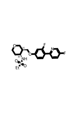 CCS(=O)(=O)N[C@@H]1CCOC[C@H]1COc1ccc(-c2ccc(F)cn2)c(F)c1